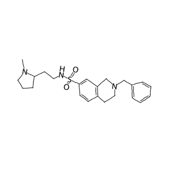 CN1CCCC1CCNS(=O)(=O)c1ccc2c(c1)CN(Cc1ccccc1)CC2